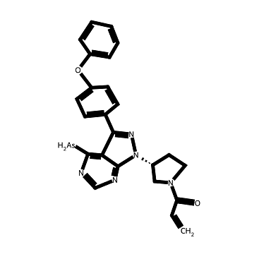 C=CC(=O)N1CC[C@@H](n2nc(-c3ccc(Oc4ccccc4)cc3)c3c([AsH2])ncnc32)C1